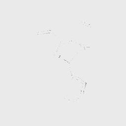 C=CC1=C(C=C)OC(c2ccccc2)N1